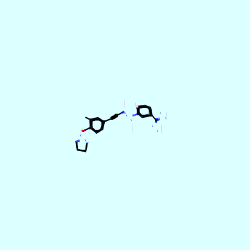 Cc1cc(C#CCNc2cc(C(=N)N)ccc2O)ccc1C(=O)N1CCCC1